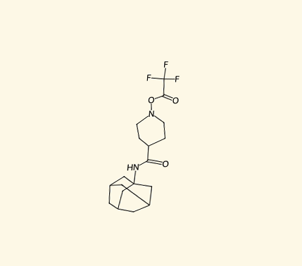 O=C(NC12CC3CC(CC(C3)C1)C2)C1CCN(OC(=O)C(F)(F)F)CC1